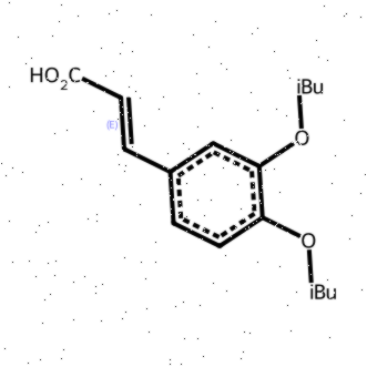 CCC(C)Oc1ccc(/C=C/C(=O)O)cc1OC(C)CC